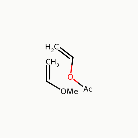 C=COC.C=COC(C)=O